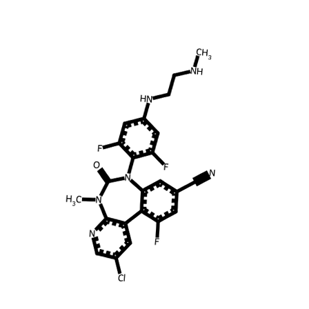 CNCCNc1cc(F)c(N2C(=O)N(C)c3ncc(Cl)cc3-c3c(F)cc(C#N)cc32)c(F)c1